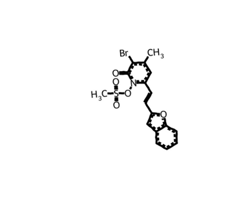 Cc1cc(/C=C/c2cc3ccccc3o2)n(OS(C)(=O)=O)c(=O)c1Br